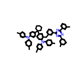 Cc1ccc(N(c2ccc(C)cc2)c2ccc(C3(c4ccc(N(c5ccc(C)cc5)c5ccc(C)cc5)c(Cc5cccc(-c6nc(-c7cccc(C)c7)nc(-c7cccc(C)c7)n6)c5)c4)CCCCC3)cc2)cc1